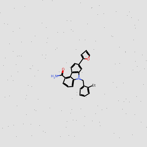 CCc1ccccc1Cn1c2cc(-c3ccco3)c[c]c2c2c(C(N)=O)cccc21